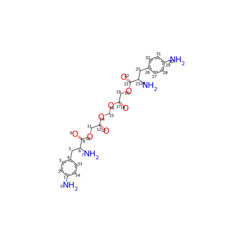 Nc1ccc(CC(N)C(=O)OCC(=O)OCOC(=O)COC(=O)C(N)Cc2ccc(N)cc2)cc1